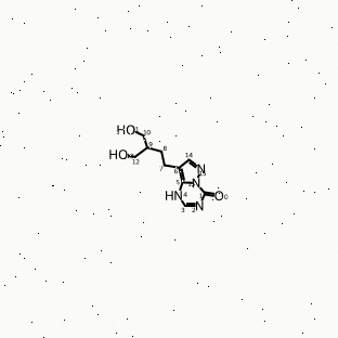 O=c1nc[nH]c2c(CCC(CO)CO)cnn12